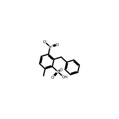 Cc1ccc([N+](=O)[O-])c(Cc2ccccc2)c1S(=O)(=O)O